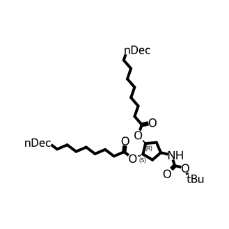 CCCCCCCCCCCCCCCCCC(=O)O[C@H]1CC(NC(=O)OC(C)(C)C)C[C@H]1OC(=O)CCCCCCCCCCCCCCCCC